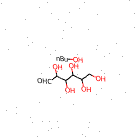 CCCCO.O=CC(O)C(O)C(O)C(O)CO